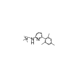 Cc1cc(C)c(-c2cccc(NC[Si](C)(C)C)n2)c(C)c1